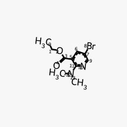 CCOC(=O)c1cc(Br)cnc1N(C)C